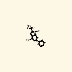 CCCCOC(=O)c1cc2c(C(F)(F)F)cc(-c3ccccc3)cc2n1O